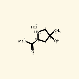 COC(=O)[C@@H]1CC(C)(O)CN1.Cl